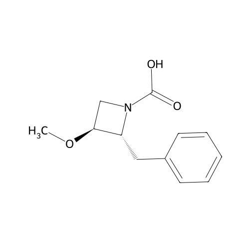 CO[C@H]1CN(C(=O)O)[C@@H]1Cc1ccccc1